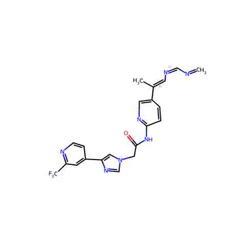 C=N/C=N\C=C(/C)c1ccc(NC(=O)Cn2cnc(-c3ccnc(C(F)(F)F)c3)c2)nc1